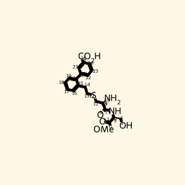 COC(=O)[C@H](CO)NC(=O)[C@@H](N)CSCCc1ccccc1-c1cccc(C(=O)O)c1